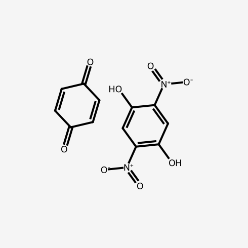 O=C1C=CC(=O)C=C1.O=[N+]([O-])c1cc(O)c([N+](=O)[O-])cc1O